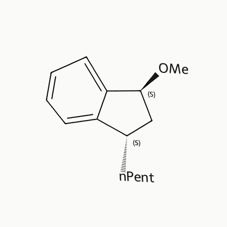 CCCCC[C@H]1C[C@H](OC)c2ccccc21